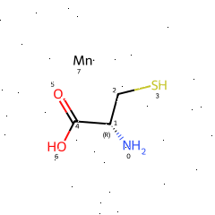 N[C@@H](CS)C(=O)O.[Mn]